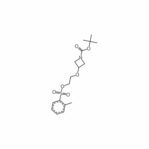 Cc1ccccc1S(=O)(=O)OCCOC1CN(C(=O)OC(C)(C)C)C1